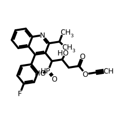 C#COC(=O)CC(O)C(c1c(C(C)C)nc2ccccc2c1-c1ccc(F)cc1)[PH](=O)O